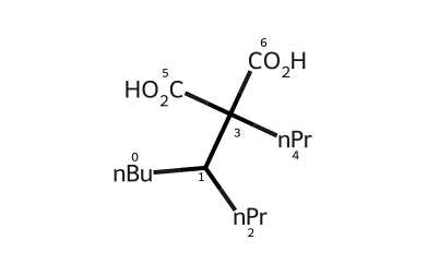 CCCCC(CCC)C(CCC)(C(=O)O)C(=O)O